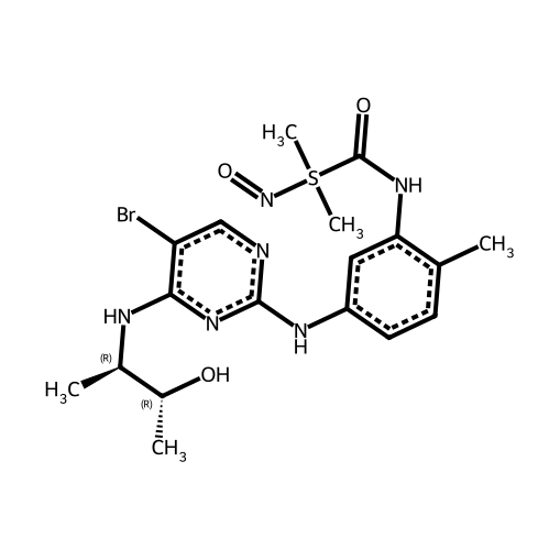 Cc1ccc(Nc2ncc(Br)c(N[C@H](C)[C@@H](C)O)n2)cc1NC(=O)S(C)(C)N=O